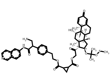 CSOC(C)(C)O[C@@H]1C[C@H]2[C@@H]3CCC4=CC(=O)C=C[C@]4(C)[C@@]3(F)[C@@H](O)C[C@]2(C)[C@H]1C(=O)COC(=O)C1CC1C(=O)OCCc1ccc(C(CN)C(=O)Nc2ccc3cnccc3c2)cc1